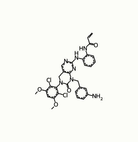 C=CC(=O)Nc1ccccc1Nc1ncc2c(n1)N(Cc1cccc(N)c1)C(=O)N(c1c(Cl)c(OC)cc(OC)c1Cl)C2